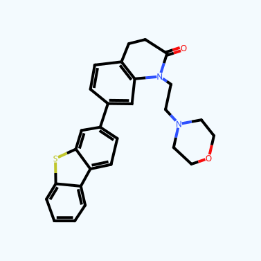 O=C1CCc2ccc(-c3ccc4c(c3)sc3ccccc34)cc2N1CCN1CCOCC1